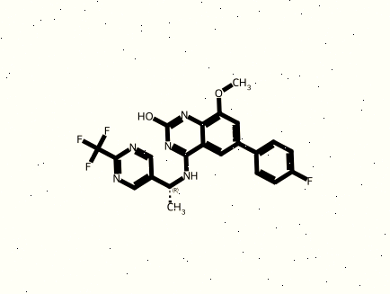 COc1cc(-c2ccc(F)cc2)cc2c(N[C@H](C)c3cnc(C(F)(F)F)nc3)nc(O)nc12